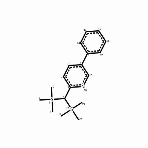 CS(C)(C)C(c1ccc(-c2ccccc2)cn1)S(C)(C)C